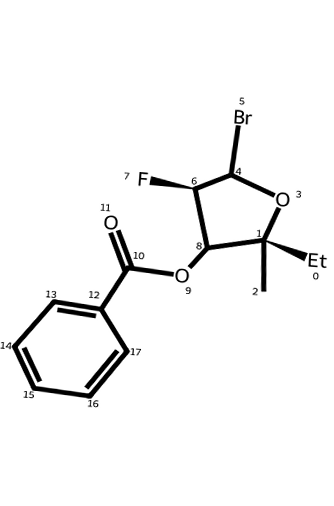 CC[C@]1(C)OC(Br)[C@H](F)C1OC(=O)c1ccccc1